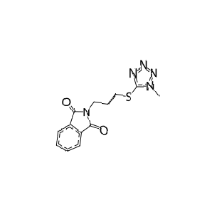 Cn1nnnc1SCCCN1C(=O)c2ccccc2C1=O